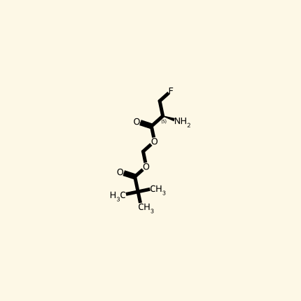 CC(C)(C)C(=O)OCOC(=O)[C@H](N)CF